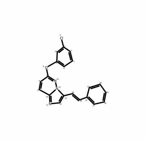 Clc1cccc(Oc2ccc3ncc(C=Cc4ccccc4)n3n2)c1